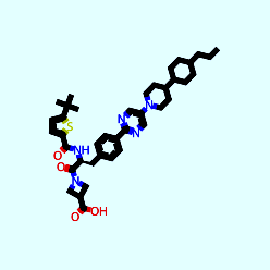 CCCC1CCC(C2CCN(c3cnc(-c4ccc(C[C@H](NC(=O)c5ccc(C(C)(C)C)s5)C(=O)N5CC(C(=O)O)C5)cc4)nc3)CC2)CC1